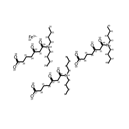 CCCCN(CCCC)C(=O)CC(=O)CCCC(=O)[O-].CCCCN(CCCC)C(=O)CC(=O)CCCC(=O)[O-].CCCCN(CCCC)C(=O)CC(=O)CCCC(=O)[O-].[Fe+3]